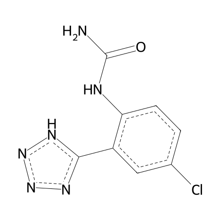 NC(=O)Nc1ccc(Cl)cc1-c1nnn[nH]1